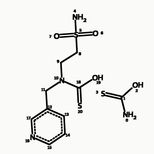 NC(O)=S.NS(=O)(=O)CCN(Cc1cccnc1)C(O)=S